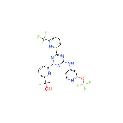 CC(C)(O)c1cccc(-c2nc(Nc3ccnc(OC(F)(F)F)c3)nc(-c3cccc(C(F)(F)F)n3)n2)n1